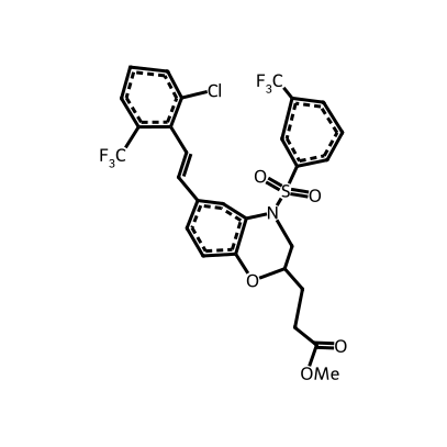 COC(=O)CCC1CN(S(=O)(=O)c2cccc(C(F)(F)F)c2)c2cc(C=Cc3c(Cl)cccc3C(F)(F)F)ccc2O1